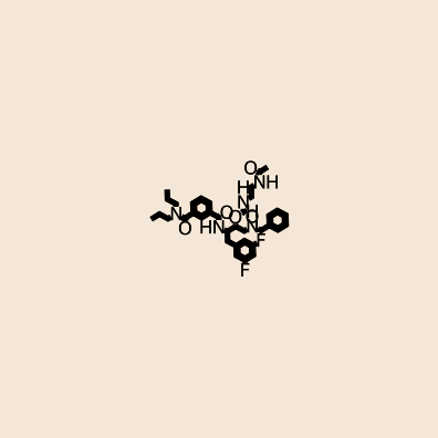 CCCN(CCC)C(=O)c1cccc(C(=O)NC(Cc2cc(F)cc(F)c2)C(CNCc2ccccc2)OC(=O)NCCNC(C)=O)c1